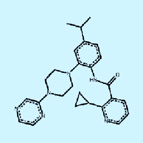 CC(C)c1ccc(NC(=O)c2cccnc2C2CC2)c(N2CCN(c3cnccn3)CC2)c1